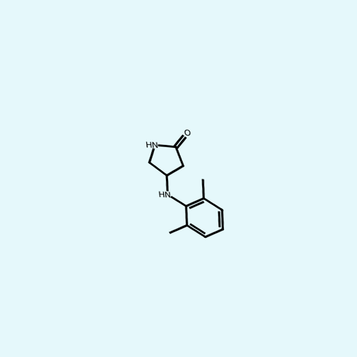 Cc1cccc(C)c1NC1CNC(=O)C1